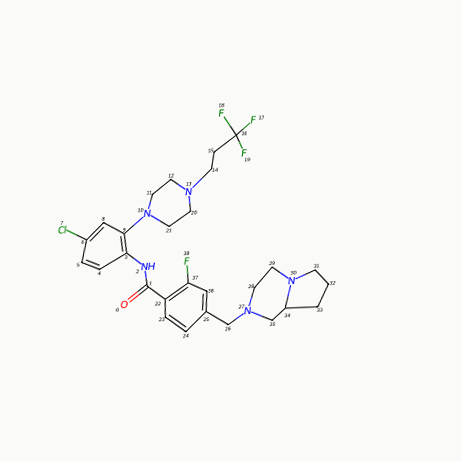 O=C(Nc1ccc(Cl)cc1N1CCN(CCC(F)(F)F)CC1)c1ccc(CN2CCN3CCCC3C2)cc1F